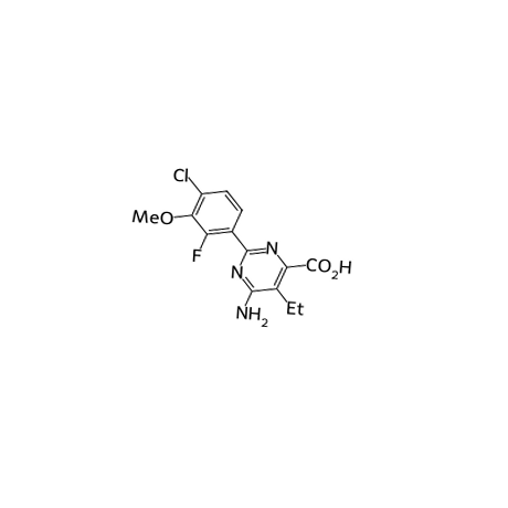 CCc1c(N)nc(-c2ccc(Cl)c(OC)c2F)nc1C(=O)O